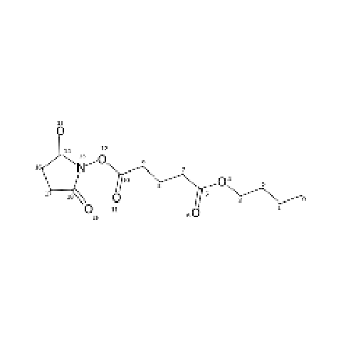 CCCCOC(=O)CCCC(=O)ON1C(=O)CCC1=O